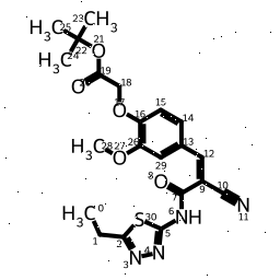 CCc1nnc(NC(=O)C(C#N)=Cc2ccc(OCC(=O)OC(C)(C)C)c(OC)c2)s1